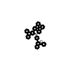 c1ccc2c(c1)-c1ccccc1C21c2ccccc2-c2ccc(N(c3ccc(-c4cc5ccccc5c5c4oc4ccccc45)cc3)c3ccc4c5ccccc5c5ccccc5c4c3)cc21